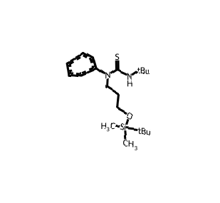 CC(C)(C)NC(=S)N(CCCO[Si](C)(C)C(C)(C)C)c1ccccc1